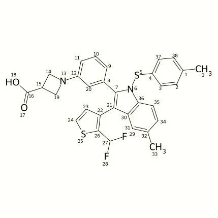 Cc1ccc(Sn2c(-c3cccc(N4CC(C(=O)O)C4)c3)c(-c3ccsc3C(F)F)c3cc(C)ccc32)cc1